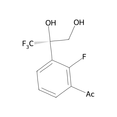 CC(=O)c1cccc([C@@](O)(CO)C(F)(F)F)c1F